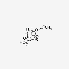 COCCCOc1cc2c(cc1C)-c1c(cc(C(=O)O)c(=O)n1C1CC1)CS2(=O)=O